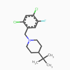 CC(C)(C)C1CCN(Cc2cc(F)c(Cl)cc2Cl)CC1